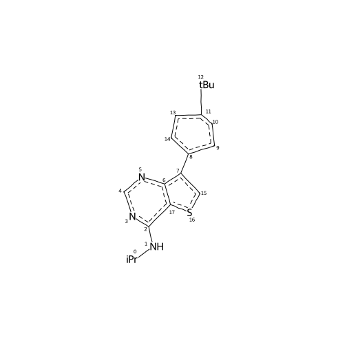 CC(C)Nc1ncnc2c(-c3ccc(C(C)(C)C)cc3)csc12